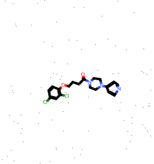 O=C(CCCOc1ccc(Cl)cc1Cl)N1CCN(c2ccncc2)CC1